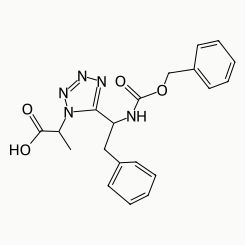 CC(C(=O)O)n1nnnc1C(Cc1ccccc1)NC(=O)OCc1ccccc1